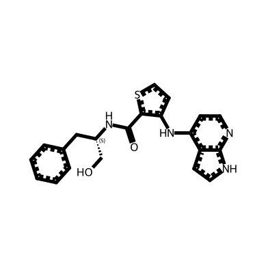 O=C(N[C@H](CO)Cc1ccccc1)c1sccc1Nc1ccnc2[nH]ccc12